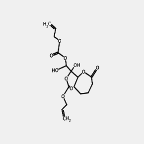 C=CCOC(=O)OC(O)C(O)(OC(=O)OCC=C)C1CCCCC(=O)O1